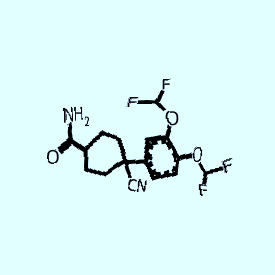 N#CC1(c2ccc(OC(F)F)c(OC(F)F)c2)CCC(C(N)=O)CC1